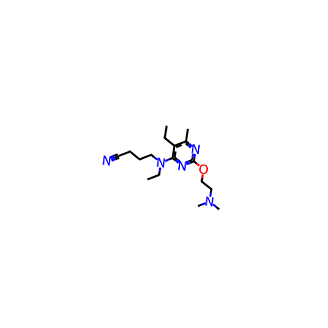 CCc1c(C)nc(OCCN(C)C)nc1N(CC)CCCC#N